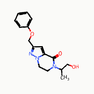 CC(CO)N1CCn2nc(COc3ccccc3)cc2C1=O